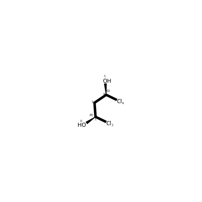 O[C@H](Cl)C[C@@H](O)Cl